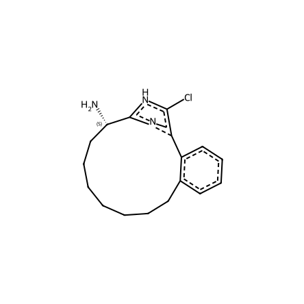 N[C@H]1CCCCCCCc2ccccc2-c2nc1[nH]c2Cl